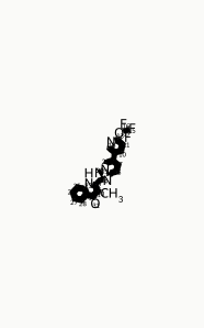 Cc1c(-c2nc3ccc(-c4ccc(OC(F)(F)F)nc4)cn3n2)[nH]c2ccccc2c1=O